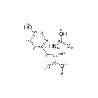 COC(=O)[C@](C)(Cc1ccc(O)cc1)NC(=O)O